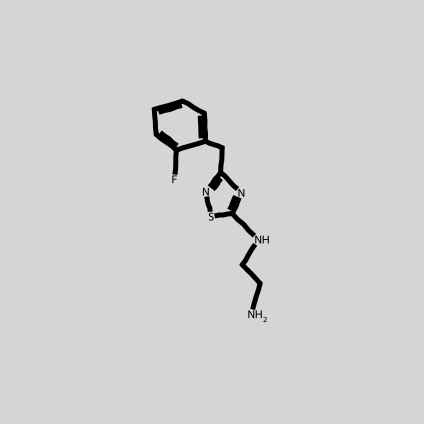 NCCNc1nc(Cc2ccccc2F)ns1